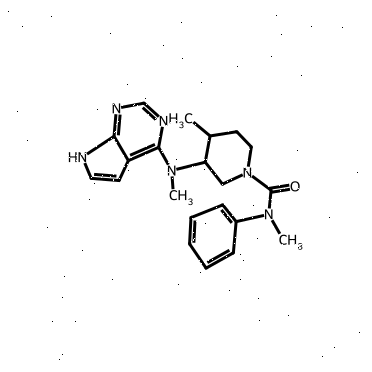 CC1CCN(C(=O)N(C)c2ccccc2)CC1N(C)c1ncnc2[nH]ccc12